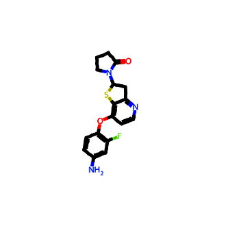 Nc1ccc(Oc2ccnc3c2SC(N2CCCC2=O)C3)c(F)c1